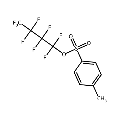 Cc1ccc(S(=O)(=O)OC(F)(F)C(F)(F)C(F)(F)C(F)(F)F)cc1